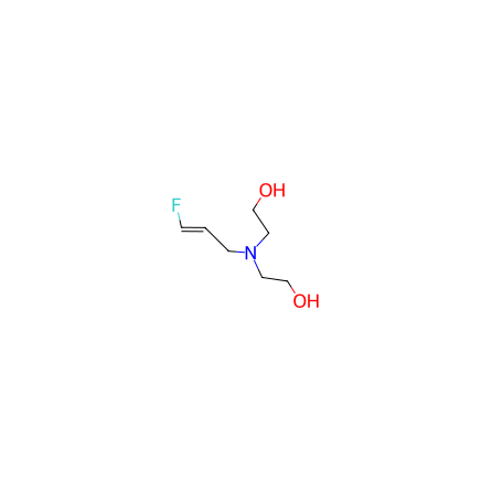 OCCN(CC=CF)CCO